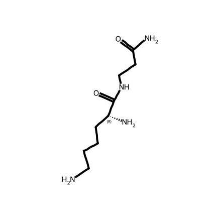 NCCCC[C@@H](N)C(=O)NCCC(N)=O